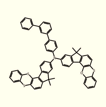 CC1(C)c2cc(N(c3ccc(-c4cccc(-c5ccccc5)c4)cc3)c3ccc4c(c3)C(C)(C)c3ccc5c(c3-4)Sc3ccccc3S5)ccc2-c2c1ccc1c2Oc2ccccc2S1